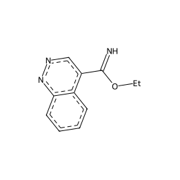 CCOC(=N)c1cnnc2ccccc12